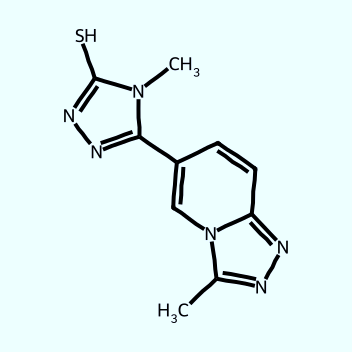 Cc1nnc2ccc(-c3nnc(S)n3C)cn12